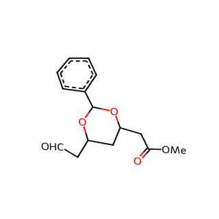 COC(=O)CC1CC(CC=O)OC(c2ccccc2)O1